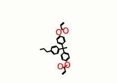 C=CC(=O)Oc1ccc(C(C)(c2ccc(CCC)cc2)c2ccc(OC(=O)C=C)cc2)cc1